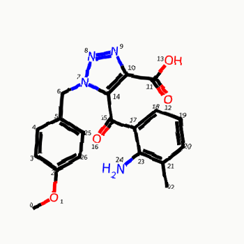 COc1ccc(Cn2nnc(C(=O)O)c2C(=O)c2cccc(C)c2N)cc1